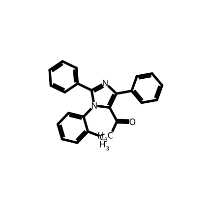 CC(=O)c1c(-c2ccccc2)nc(-c2ccccc2)n1-c1ccccc1C